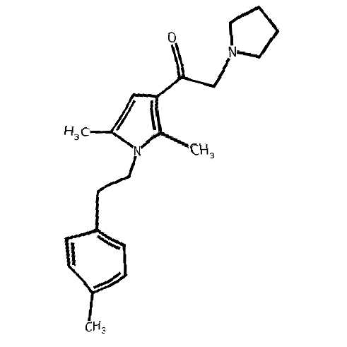 Cc1ccc(CCn2c(C)cc(C(=O)CN3CCCC3)c2C)cc1